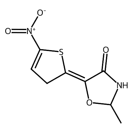 CC1NC(=O)C(=C2CC=C([N+](=O)[O-])S2)O1